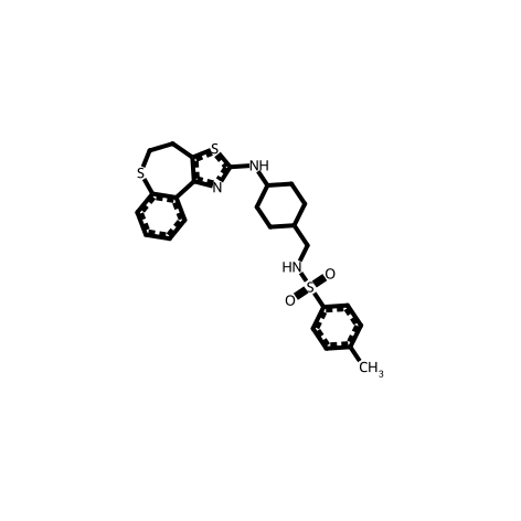 Cc1ccc(S(=O)(=O)NCC2CCC(Nc3nc4c(s3)CCSc3ccccc3-4)CC2)cc1